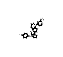 O=C(Nc1ccc(F)cc1)C1(c2ccc3c(n2)CCCN3c2ccnc(C(F)(F)F)n2)CCC1